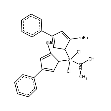 CCCCC1=CC(c2ccccc2)=C[CH]1[Zr]([Cl])([Cl])([CH]1C=C(c2ccccc2)C=C1CCCC)[SiH](C)C